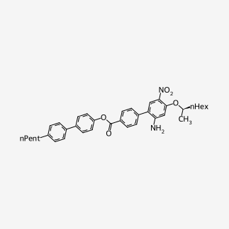 CCCCCC[C@@H](C)Oc1cc(N)c(-c2ccc(C(=O)Oc3ccc(-c4ccc(CCCCC)cc4)cc3)cc2)cc1[N+](=O)[O-]